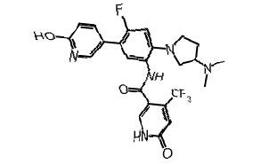 CN(C)C1CCN(c2cc(F)c(-c3ccc(O)nc3)cc2NC(=O)c2c[nH]c(=O)cc2C(F)(F)F)C1